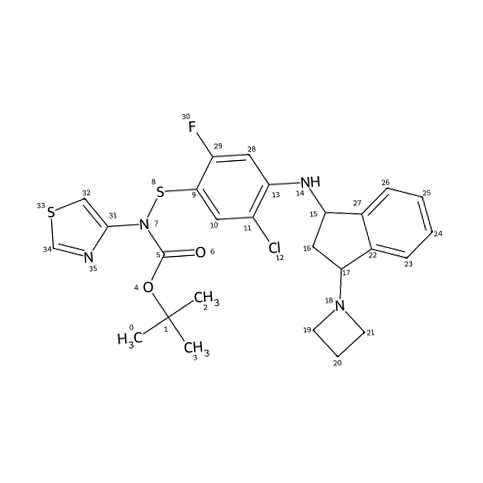 CC(C)(C)OC(=O)N(Sc1cc(Cl)c(NC2CC(N3CCC3)c3ccccc32)cc1F)c1cscn1